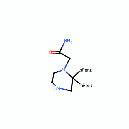 CCCCCC1(CCCCC)CNCCN1CC(N)=O